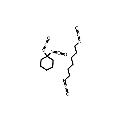 O=C=NC1(N=C=O)CCCCC1.O=C=NCCCCCCN=C=O